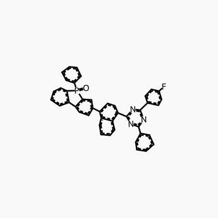 O=P1(c2ccccc2)c2ccccc2-c2ccc(-c3ccc(-c4nc(-c5ccccc5)nc(-c5ccc(F)cc5)n4)c4ccccc34)cc21